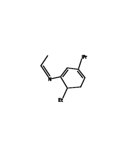 C/C=N\C1=CC(C(C)C)=CCC1CC